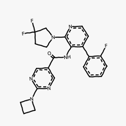 O=C(Nc1c(-c2ccccc2F)ccnc1N1CCC(F)(F)C1)c1cnc(N2CCC2)nc1